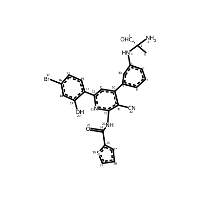 C[C@@](N)(C=O)Nc1cccc(-c2cc(-c3ccc(Br)cc3O)nc(NC(=O)c3cccs3)c2C#N)c1